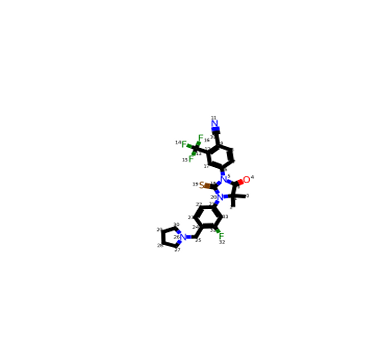 CC1(C)C(=O)N(c2ccc(C#N)c(C(F)(F)F)c2)C(=S)N1c1ccc(CN2CCCC2)c(F)c1